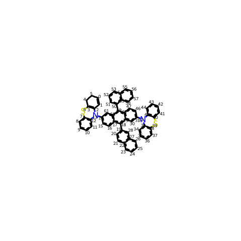 C1=CC2=C(CC1)Sc1ccccc1N2c1ccc2c(-c3ccc4ccccc4c3)c3cc(N4c5ccccc5Sc5ccccc54)ccc3c(-c3cccc4ccccc34)c2c1